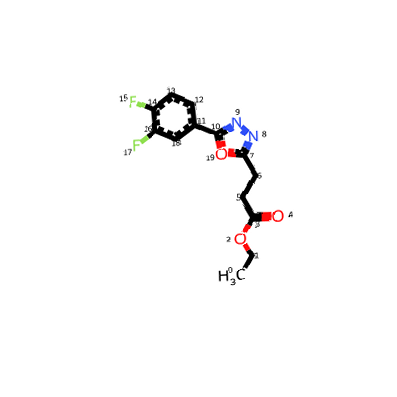 CCOC(=O)CCc1nnc(-c2ccc(F)c(F)c2)o1